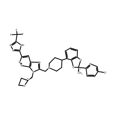 C[C@]1(c2ccc(Cl)cn2)Oc2cccc(C3CCN(Cc4nc5cc(-c6nnc(C(F)(F)F)[nH]6)nnc5n4C[C@@H]4CCO4)CC3)c2O1